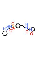 O=C(NC1CCCCC1)NS(=O)(=O)c1ccc(CCNC(=O)N2CCCC2=O)cc1